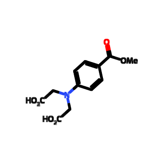 COC(=O)c1ccc(N(CC(=O)O)CC(=O)O)cc1